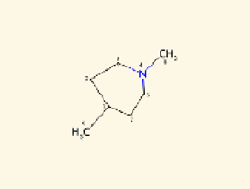 CC1C[CH]N(C)CC1